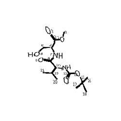 COC(=O)[C@H](CO)NC(=O)[C@@H](NC(=O)OC(C)(C)C)C(C)C